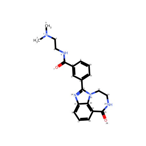 CN(C)CCNC(=O)c1cccc(-c2nc3cccc4c3n2CCNC4=O)c1